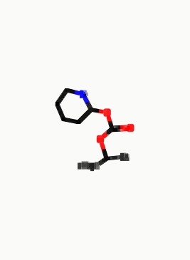 CCCCCCCC(CC)OC(=O)OC1CCCC[N]1